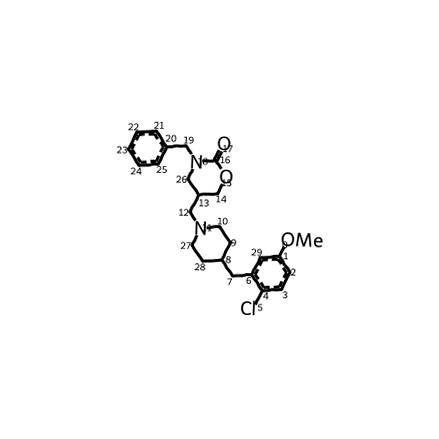 COc1ccc(Cl)c(CC2CCN(CC3COC(=O)N(Cc4ccccc4)C3)CC2)c1